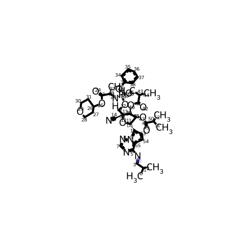 CC(C)/C=N/c1ncnn2c([C@@H]3O[C@](C#N)(CO[P@](=O)(N[C@@H](C)C(=O)OC4CCOCC4)Oc4ccccc4)[C@@H](OC(=O)C(C)C)[C@H]3OC(=O)C(C)C)ccc12